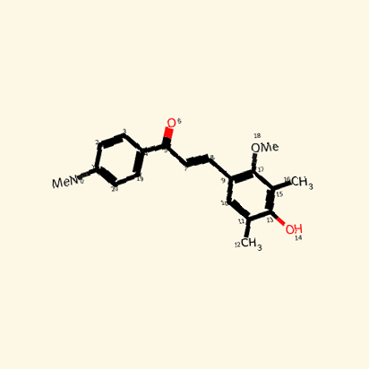 CNc1ccc(C(=O)/C=C/c2cc(C)c(O)c(C)c2OC)cc1